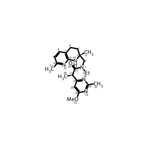 CCN(C[C@@]1(C)CCc2ccc(C)nc2N1)C(=O)[C@H](C)c1cc(OC)nc(C)n1